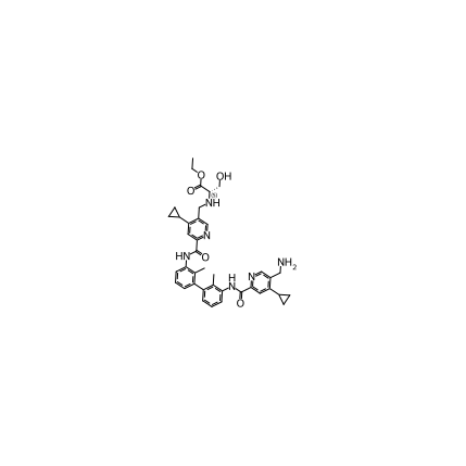 CCOC(=O)[C@H](CO)NCc1cnc(C(=O)Nc2cccc(-c3cccc(NC(=O)c4cc(C5CC5)c(CN)cn4)c3C)c2C)cc1C1CC1